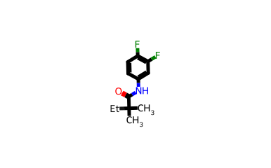 CCC(C)(C)C(=O)Nc1ccc(F)c(F)c1